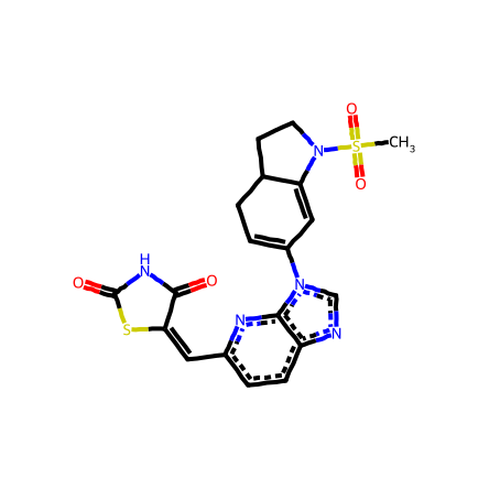 CS(=O)(=O)N1CCC2CC=C(n3cnc4ccc(C=C5SC(=O)NC5=O)nc43)C=C21